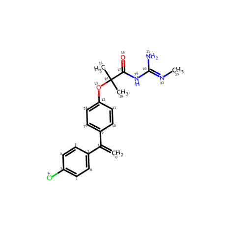 C=C(c1ccc(Cl)cc1)c1ccc(OC(C)(C)C(=O)N/C(N)=N/C)cc1